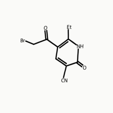 CCc1[nH]c(=O)c(C#N)cc1C(=O)CBr